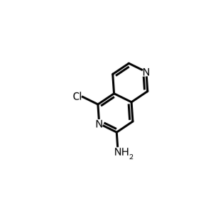 Nc1cc2cnccc2c(Cl)n1